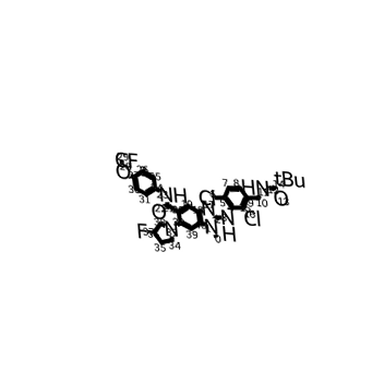 Cn1c(Nc2c(Cl)ccc(CNC(=O)C(C)(C)C)c2Cl)nc2cc(C(=O)Nc3ccc(OC(F)(F)F)cc3)c(N3CC[C@@H](F)C3)cc21